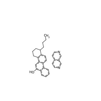 CCCCC1CCCc2c1ccc1c2cc(O)c2ccccc21.c1cc2ccncc2cn1